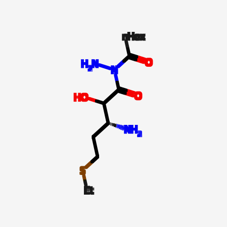 CCCCCCC(=O)N(N)C(=O)C(O)[C@H](N)CCSCC